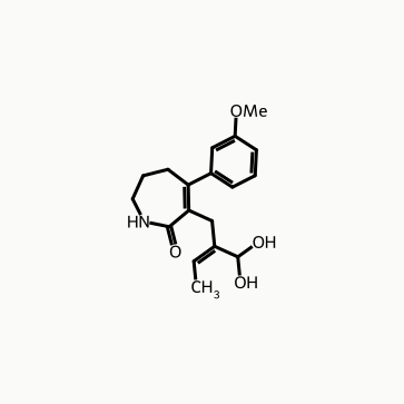 CC=C(CC1=C(c2cccc(OC)c2)CCCNC1=O)C(O)O